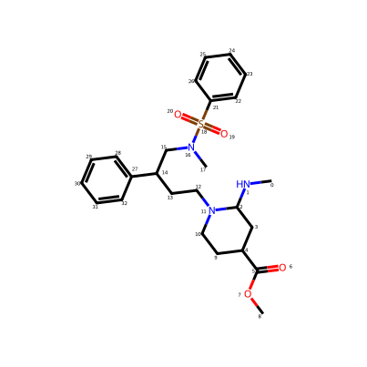 CNC1CC(C(=O)OC)CCN1CCC(CN(C)S(=O)(=O)c1ccccc1)c1ccccc1